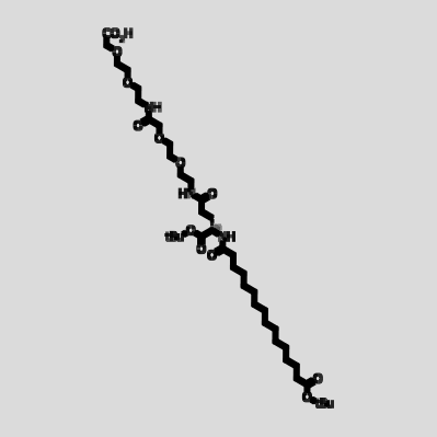 CC(C)(C)OC(=O)CCCCCCCCCCCCCCC(=O)N[C@@H](CCC(=O)NCCOCCOCC(=O)NCCOCCOCC(=O)O)C(=O)OC(C)(C)C